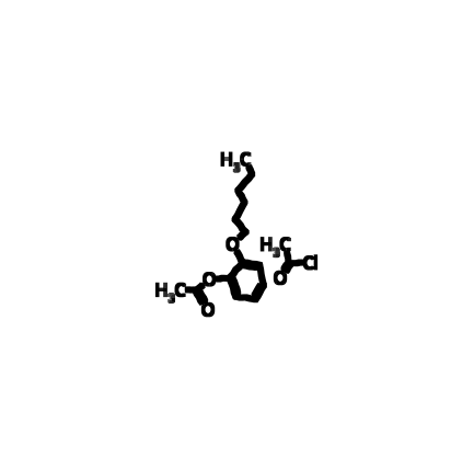 CC(=O)Cl.CCCCCCOc1ccccc1OC(C)=O